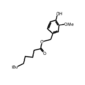 CCC(C)CCCCC(=O)OCc1ccc(O)c(OC)c1